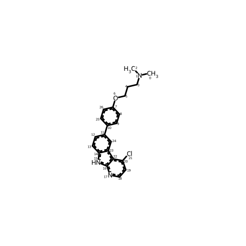 CN(C)CCCOc1ccc(-c2ccc3[nH]c4nccc(Cl)c4c3c2)cc1